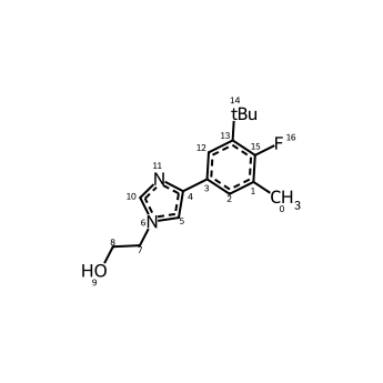 Cc1cc(-c2cn(CCO)cn2)cc(C(C)(C)C)c1F